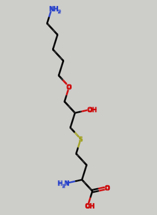 NCCCCCOCC(O)CSCCC(N)C(=O)O